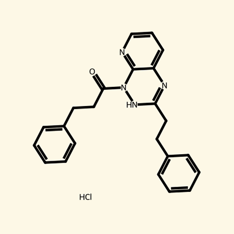 Cl.O=C(CCc1ccccc1)N1NC(CCc2ccccc2)=Nc2cccnc21